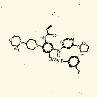 C=CC(=O)Nc1cc(Nc2cc(N3OCC[C@@H]3c3cc(F)cc(F)c3)ncn2)c(OC)cc1N1CCC(N2CCOC[C@@H]2C)CC1